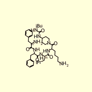 CCC(C)NC(=O)NC1CCN(C(=O)C(CCCCN)NC(=O)[C@@H](CC(C)C)NC(=O)C(Cc2ccccc2)NC(=O)[C@H](N)Cc2ccccc2)CC1